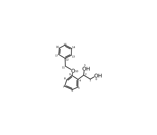 OCC(O)c1ccccc1OCc1ccccc1